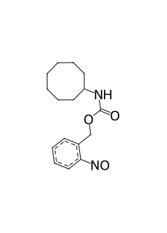 O=Nc1ccccc1COC(=O)NC1CCCCCCC1